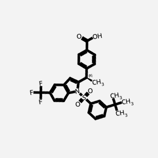 C[C@H](c1ccc(C(=O)O)cc1)c1cc2cc(C(F)(F)F)ccc2n1S(=O)(=O)c1cccc(C(C)(C)C)c1